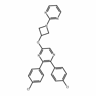 Clc1ccc(-c2ncc(OC3CN(c4ncccn4)C3)nc2-c2ccc(Cl)cc2)cc1